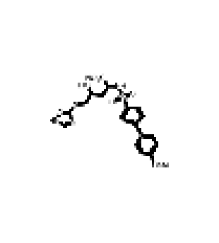 COc1ccc(-c2ccc(S(=O)(=O)NC(CC(O)CSc3nc[nH]n3)C(=O)O)cc2)cc1